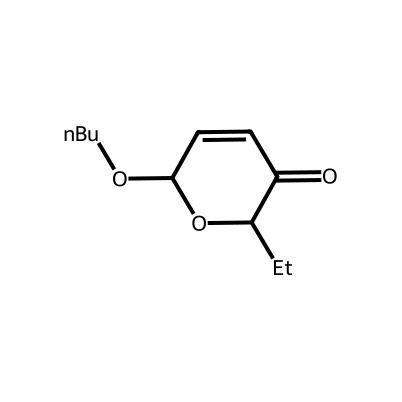 CCCCOC1C=CC(=O)C(CC)O1